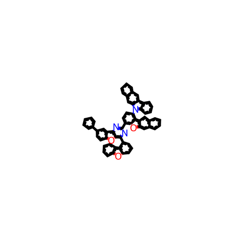 c1ccc(-c2ccc3oc4c(-c5cccc6oc7ccccc7c56)nc(-c5ccc(-n6c7ccccc7c7cc8ccccc8cc76)c6c5oc5cc7ccccc7cc56)nc4c3c2)cc1